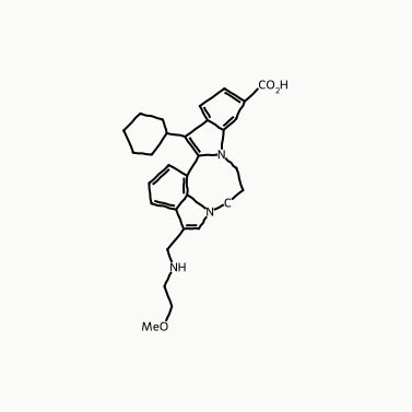 COCCNCc1cn2c3c(cccc13)-c1c(C3CCCCC3)c3ccc(C(=O)O)cc3n1CCC2